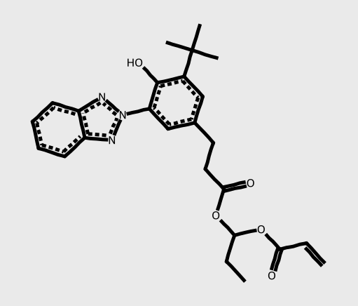 C=CC(=O)OC(CC)OC(=O)CCc1cc(-n2nc3ccccc3n2)c(O)c(C(C)(C)C)c1